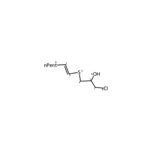 CCCCCC=CSCC(O)CCl